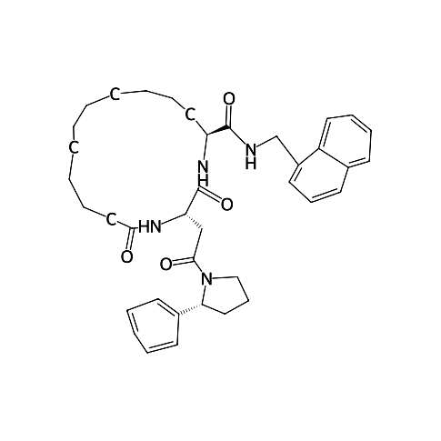 O=C1CCCCCCCCCC[C@@H](C(=O)NCc2cccc3ccccc23)NC(=O)[C@H](CC(=O)N2CCC[C@@H]2c2ccccc2)N1